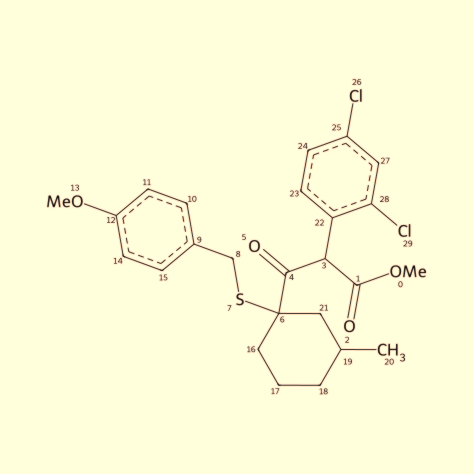 COC(=O)C(C(=O)C1(SCc2ccc(OC)cc2)CCCC(C)C1)c1ccc(Cl)cc1Cl